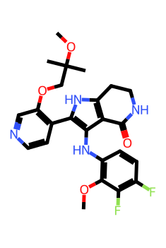 COc1c(Nc2c(-c3ccncc3OCC(C)(C)OC)[nH]c3c2C(=O)NCC3)ccc(F)c1F